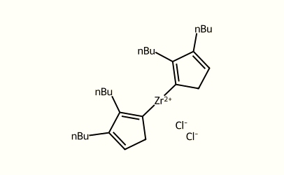 CCCCC1=CC[C]([Zr+2][C]2=C(CCCC)C(CCCC)=CC2)=C1CCCC.[Cl-].[Cl-]